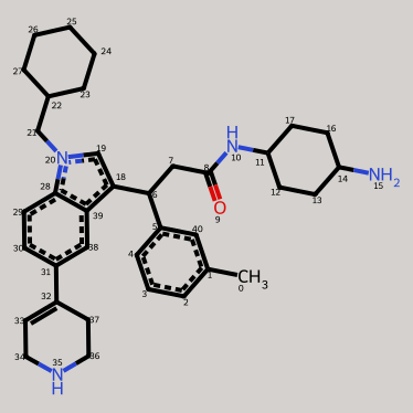 Cc1cccc(C(CC(=O)NC2CCC(N)CC2)c2cn(CC3CCCCC3)c3ccc(C4=CCNCC4)cc23)c1